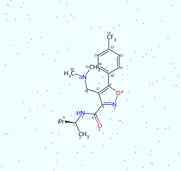 CC(C)[C@H](C)NC(=O)c1noc(-c2ccc(C(F)(F)F)cc2)c1CN(C)C